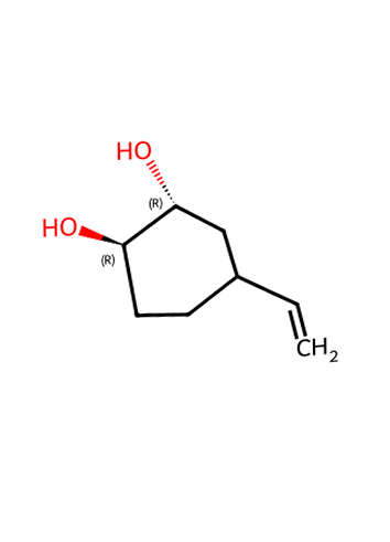 C=CC1CC[C@@H](O)[C@H](O)C1